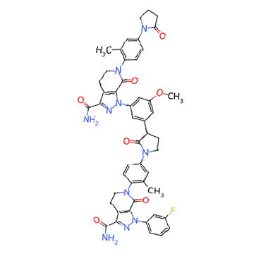 COc1cc(C2CCN(c3ccc(N4CCc5c(C(N)=O)nn(-c6cccc(F)c6)c5C4=O)c(C)c3)C2=O)cc(-n2nc(C(N)=O)c3c2C(=O)N(c2ccc(N4CCCC4=O)cc2C)CC3)c1